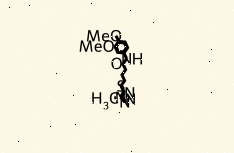 COc1ccc(NC(=O)CCCSc2nnnn2C)cc1OC